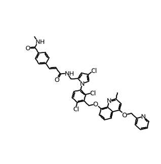 CNC(=O)c1ccc(/C=C/C(=O)NCc2cc(Cl)cn2-c2ccc(Cl)c(COc3cccc4c(OCc5ccccn5)cc(C)nc34)c2Cl)cc1